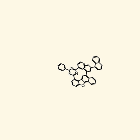 c1ccc(-c2nc(-c3ccccc3)nc(-c3cccc4oc5c6ccccc6c(-c6cccc(-c7cccc8ccccc78)c6)cc5c34)n2)cc1